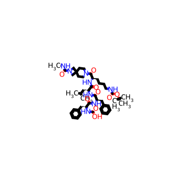 CNC(=O)N1CC2(CCN(C(=O)[C@@H](CCCCNC(=O)OC(C)(C)C)NC(=O)[C@@H](CC(C)C)NC(=O)[C@@H](Cc3ccccc3)NC(=O)[C@@H](Cc3ccccc3)NC(=O)O)CC2)C1